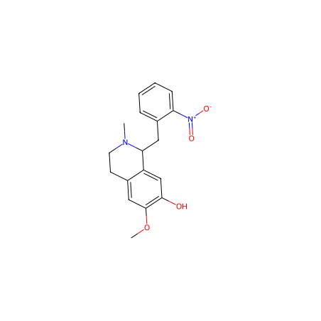 COc1cc2c(cc1O)C(Cc1ccccc1[N+](=O)[O-])N(C)CC2